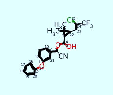 CC1(C)[C@H](C(O)O[C@H](C#N)c2cccc(Oc3ccccc3)c2)[C@@H]1/C=C(\Cl)C(F)(F)F